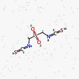 O=S(=O)(CN=C=S)CN=C=S